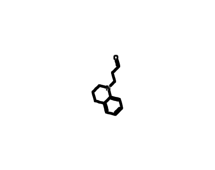 O=CCCN1CCCc2ccccc21